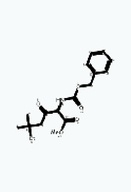 CCC(C)(C)CC(=O)C(NC(=O)OCc1ccccc1)C(=O)OC